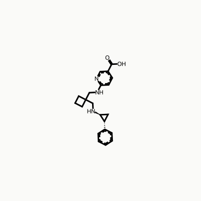 O=C(O)c1ccc(NCC2(CN[C@H]3C[C@@H]3c3ccccc3)CCC2)nc1